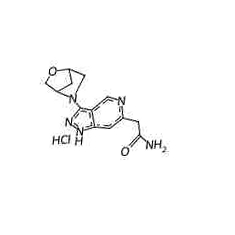 Cl.NC(=O)Cc1cc2[nH]nc(N3CC4CC3CO4)c2cn1